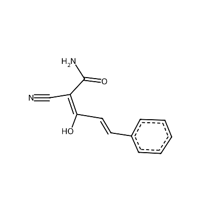 N#CC(C(N)=O)=C(O)C=Cc1ccccc1